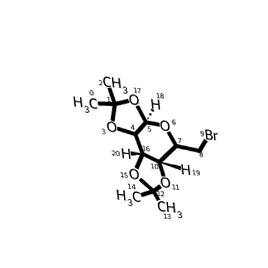 CC1(C)OC2[C@H](OC(CBr)[C@@H]3OC(C)(C)O[C@H]23)O1